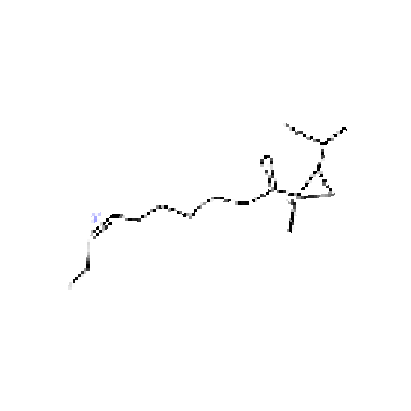 CC/C=C\CCCCCC(=O)[C@@]1(C)CC1C(C)C